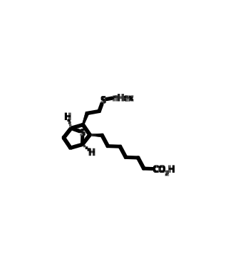 CCCCCCSCC[C@H]1[C@@H](CCCCCCC(=O)O)[C@H]2CC[C@@H]1S2